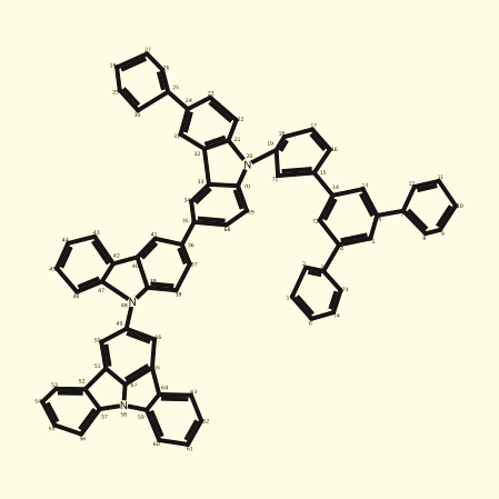 c1ccc(-c2cc(-c3ccccc3)cc(-c3cccc(-n4c5ccc(-c6ccccc6)cc5c5cc(-c6ccc7c(c6)c6ccccc6n7-c6cc7c8ccccc8n8c9ccccc9c(c6)c78)ccc54)c3)c2)cc1